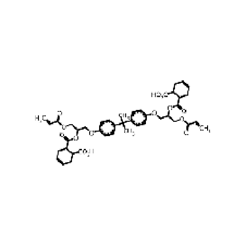 C=CC(=O)OCC(COc1ccc(C(C)(C)c2ccc(OCC(COC(=O)C=C)OC(=O)C3CC=CCC3C(=O)O)cc2)cc1)OC(=O)C1CC=CCC1C(=O)O